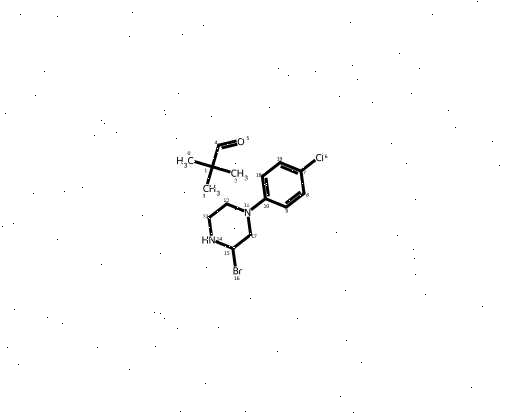 CC(C)(C)C=O.Clc1ccc(N2CCNC(Br)C2)cc1